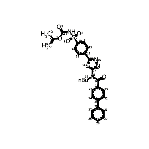 C=C(C)OC(=O)NS(=O)(=O)c1ccc(-c2nnc(N(CCCC)C(=O)c3ccc(-c4ccccc4)cc3)s2)cc1